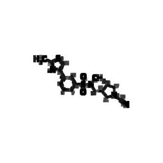 Cc1nc(-c2cccc(S(=O)(=O)N(C)CC3CCN(C#N)C3)c2)cs1